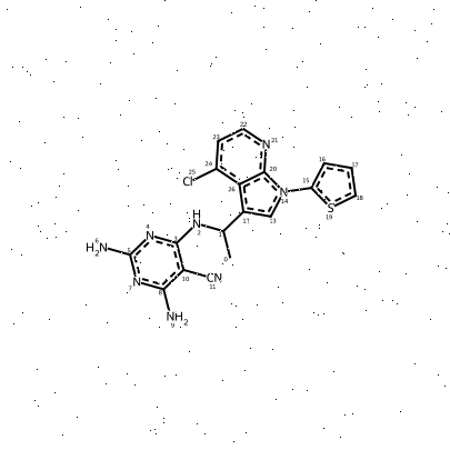 CC(Nc1nc(N)nc(N)c1C#N)c1cn(-c2cccs2)c2nccc(Cl)c12